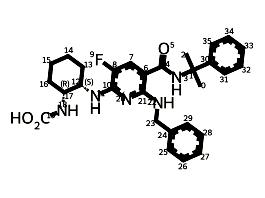 CC(C)(NC(=O)c1cc(F)c(N[C@H]2CCCC[C@H]2NC(=O)O)nc1NCc1ccccc1)c1ccccc1